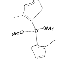 C[O][Zr]([O]C)([C]1=C(C)C=CC1)[C]1=C(C)C=CC1